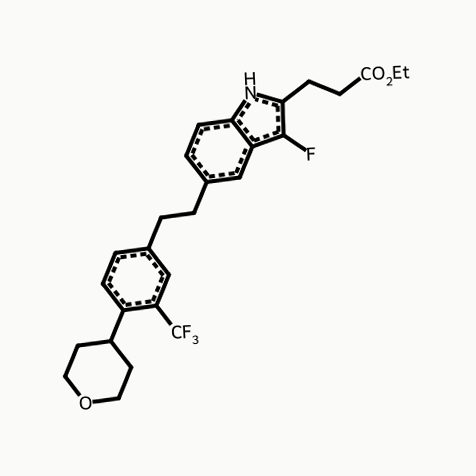 CCOC(=O)CCc1[nH]c2ccc(CCc3ccc(C4CCOCC4)c(C(F)(F)F)c3)cc2c1F